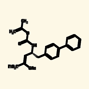 C=C(C)OC(=O)N[C@@H](/C=C(\OC(C)=O)C(=O)OCC)Cc1ccc(-c2ccccc2)cc1